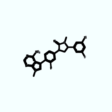 CN1C(=O)N(c2ccc(-c3cn(C)c4ncnc(N)c34)c(F)c2)CC1c1cc(F)cc(Cl)c1